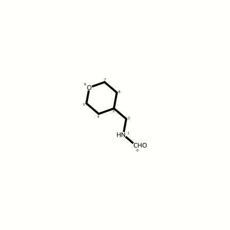 O=CNCC1CCOCC1